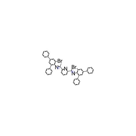 C/C(=N\c1c(Br)cc(-c2ccccc2)cc1-c1ccccc1)c1cccc(/C(C)=N/c2c(Br)cc(-c3ccccc3)cc2-c2ccccc2)n1